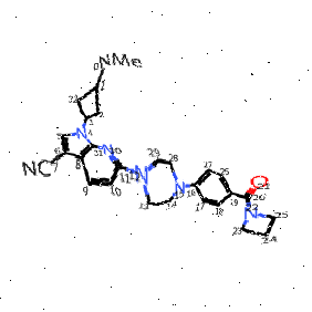 CNC1CC(n2cc(C#N)c3ccc(N4CCN(c5ccc(C(=O)N6CCC6)cc5)CC4)nc32)C1